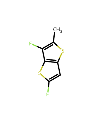 Cc1sc2cc(F)sc2c1F